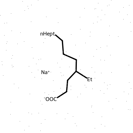 CCCCCCCCCCC(CC)CCC(=O)[O-].[Na+]